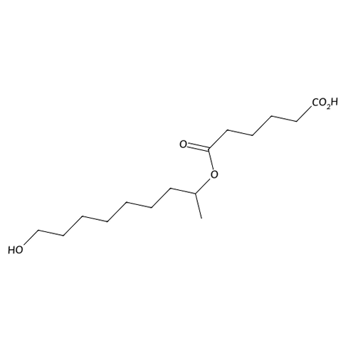 CC(CCCCCCCO)OC(=O)CCCCC(=O)O